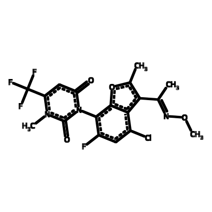 CON=C(C)c1c(C)oc2c(-n3c(=O)cc(C(F)(F)F)n(C)c3=O)c(F)cc(Cl)c12